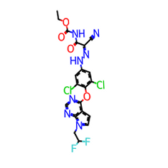 CCOC(=O)NC(=O)C(C#N)=NNc1cc(Cl)c(Oc2ncnc3c2ccn3CC(F)F)c(Cl)c1